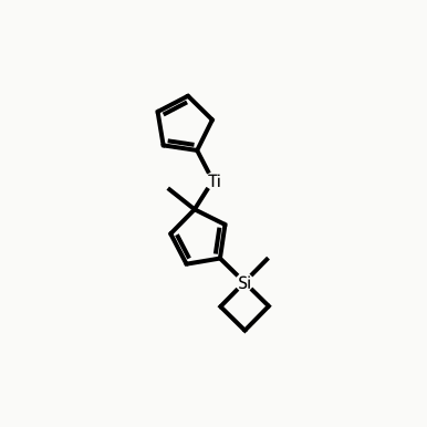 C[C]1([Ti][C]2=CC=CC2)C=CC([Si]2(C)CCC2)=C1